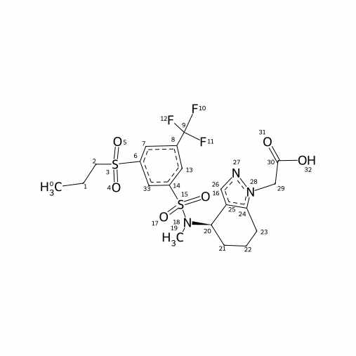 CCCS(=O)(=O)c1cc(C(F)(F)F)cc(S(=O)(=O)N(C)[C@@H]2CCCc3c2cnn3CC(=O)O)c1